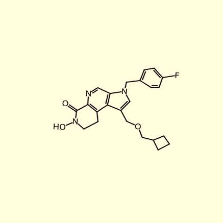 O=C1c2ncc3c(c(COCC4CCC4)cn3Cc3ccc(F)cc3)c2CCN1O